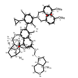 COc1ccc(CN(Cc2ccc(OC)cc2)c2cc(C)c(C3CC3)c(-c3nc4c5c(nc(OC[C@@H]6CC[C@H]7COCCN76)nc5c3F)N3C[C@H]5CC[C@@H]([C@H]3[C@H](C)O4)N5C(=O)OC(C)(C)C)c2F)cc1